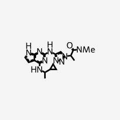 CNC(=O)C(C)n1cc(Nc2nc(NC(C)C3CC3)c3cc[nH]c3n2)nn1